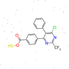 O=C(OS)c1ccc(-c2nc(C(F)(F)F)nc(Cl)c2-c2ccccc2)cc1